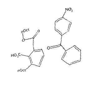 CCCCCCCCOC(=O)c1cccc(CCCCCCCC)c1C(=O)O.O=C(c1ccccc1)c1ccc([N+](=O)[O-])cc1